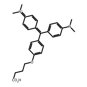 CN(C)c1ccc(C(=C2C=CC(=[N+](C)C)C=C2)c2ccc(OCCCC(=O)O)cc2)cc1